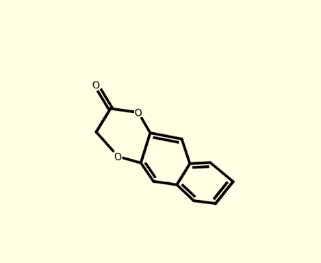 O=C1COc2cc3ccccc3cc2O1